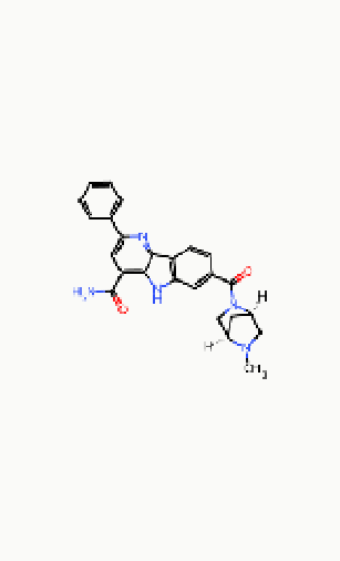 CN1C[C@H]2C[C@@H]1CN2C(=O)c1ccc2c(c1)[nH]c1c(C(N)=O)cc(-c3ccccc3)nc12